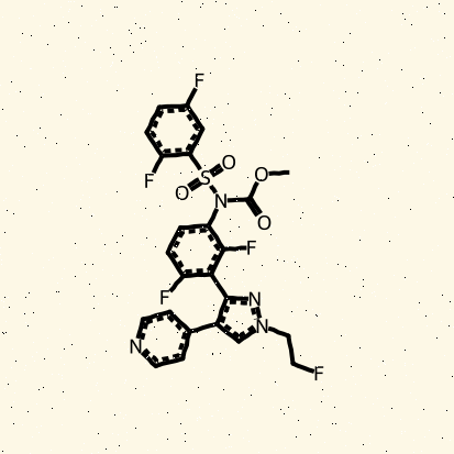 COC(=O)N(c1ccc(F)c(-c2nn(CCF)cc2-c2ccncc2)c1F)S(=O)(=O)c1cc(F)ccc1F